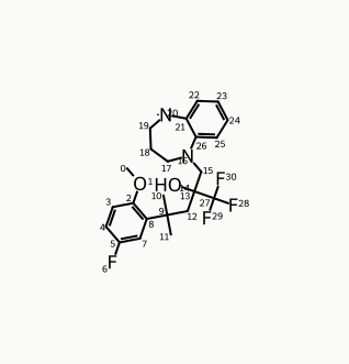 COc1ccc(F)cc1C(C)(C)CC(O)(CN1CCC[N]c2ccccc21)C(F)(F)F